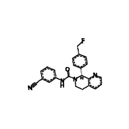 N#Cc1cccc(NC(=O)N2CCc3cccnc3[C@H]2c2ccc(CF)cc2)c1